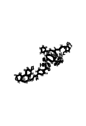 C[C@@H]1CC[C@H](C)N1CCC[C@H](CSc1ccccc1)Nc1ccc(S(=O)(=O)NC(=O)c2ccc(NCCNCC3=C(c4ccc(Cl)cc4)CCOC3)cc2)cc1S(=O)(=O)C(F)(F)F